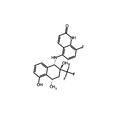 C[C@H]1C[C@@](O)(C(F)(F)F)[C@@H](Nc2ccc(F)c3[nH]c(=O)ccc23)c2cccc(O)c21